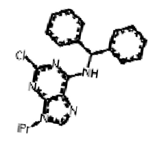 CC(C)n1cnc2c(NC(c3ccccc3)c3ccccc3)nc(Cl)nc21